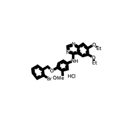 CCOc1cc2ncnc(Nc3ccc(OCc4ccccc4Br)c(OC)c3)c2cc1OCC.Cl